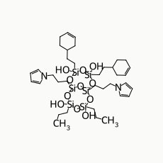 CCC[Si]1(O)O[Si](O)(CCC)O[Si]2(CCCn3cccc3)O[Si](O)(CCC3CC=CCC3)O[Si](O)(CCC3CC=CCC3)O[Si](CCCn3cccc3)(O1)O2